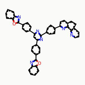 c1cnc2c(c1)ccc1ccc(-c3ccc(-c4nc(-c5ccc(-c6nc7ccccc7o6)cc5)cc(-c5ccc(-c6nc7ccccc7o6)cc5)n4)cc3)nc12